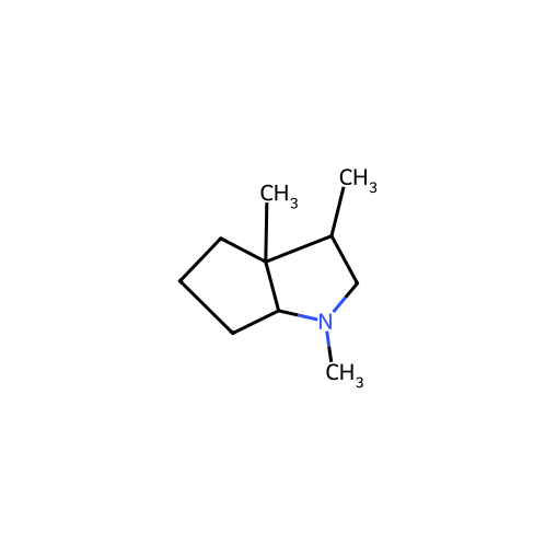 CC1CN(C)C2CCCC12C